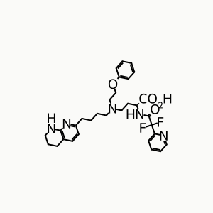 O=C(O)[C@H](CCN(CCCCc1ccc2c(n1)NCCC2)CCOc1ccccc1)NC(=O)C(F)(F)c1ccccn1